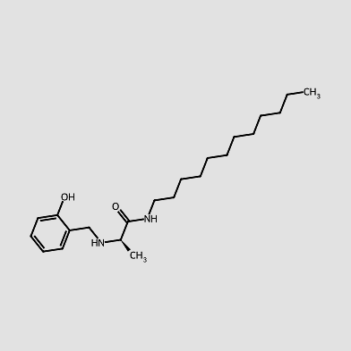 CCCCCCCCCCCCNC(=O)[C@@H](C)NCc1ccccc1O